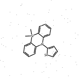 C[Si]1(C)c2ccccc2N(c2ccc[se]2)c2ccccc21